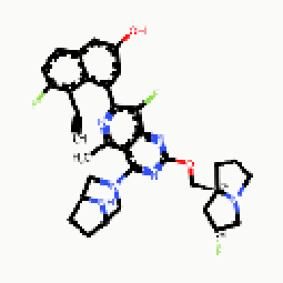 C#Cc1c(F)ccc2cc(O)cc(-c3nc(C)c4c(N5CC6CCC(C5)N6)nc(OC[C@@]56CCCN5C[C@H](F)C6)nc4c3F)c12